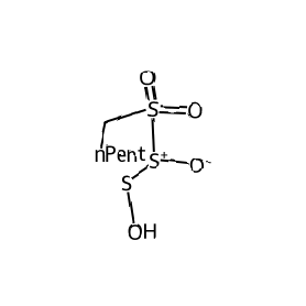 CCCCCCS(=O)(=O)[S+]([O-])SO